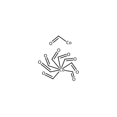 O=[CH][Co].O=[CH][Co]([CH]=O)([CH]=O)([CH]=O)([CH]=O)([CH]=O)([CH]=O)[CH]=O